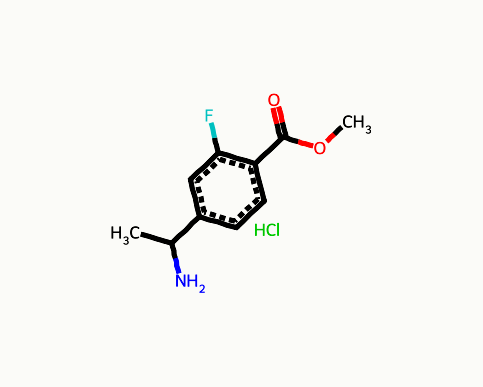 COC(=O)c1ccc(C(C)N)cc1F.Cl